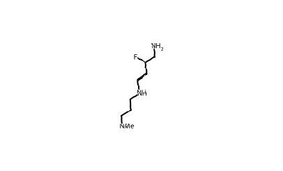 CNCCCNCCC(F)CN